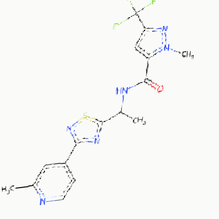 Cc1cc(-c2nsc(C(C)NC(=O)c3cc(C(F)(F)F)nn3C)n2)ccn1